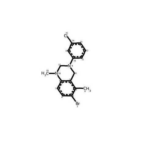 Cc1c(Br)ccc2c1CN(c1cccc(Cl)c1)CN2C